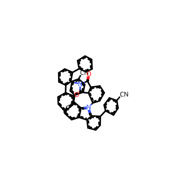 N#Cc1ccc(-c2cccc3c4cccc(-c5ccc(C#N)cc5)c4n(-c4cccc5c4C(=O)N(c4c(-c6ccccc6)cccc4-c4ccccc4)C5=O)c23)cc1